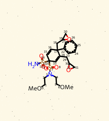 COCCN(CCOC)S(=O)(=O)C1(S(N)(=O)=O)C=CC(CC2CO2)(c2ccccc2)C(CC2CO2)=C1